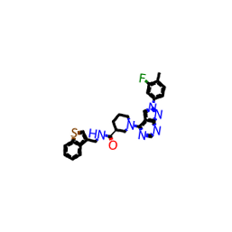 Cc1ccc(-n2cc3c(N4CCC[C@H](C(=O)NCc5csc6ccccc56)C4)ncnc3n2)cc1F